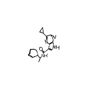 CC(NC(=O)c1c[nH]c2ncc(C3CC3)nc12)C1CCCC1